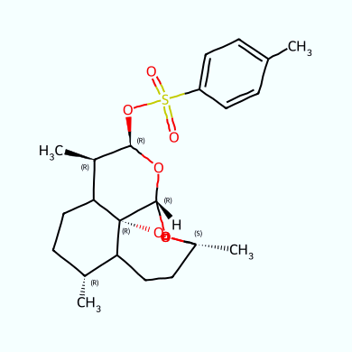 Cc1ccc(S(=O)(=O)O[C@H]2O[C@@H]3O[C@]4(C)CCC5[C@H](C)CCC([C@H]2C)[C@]53OO4)cc1